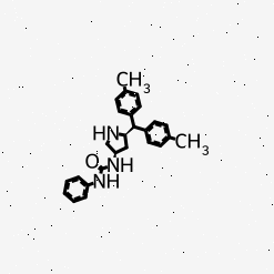 Cc1ccc(C(c2ccc(C)cc2)[C@H]2C[C@@H](NC(=O)Nc3ccccc3)CN2)cc1